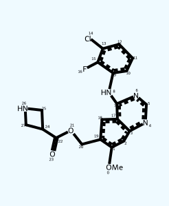 COc1cc2ncnc(Nc3cccc(Cl)c3F)c2cc1COC(=O)C1CNC1